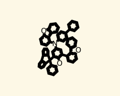 c1ccc(-c2ccc(N(c3cc(-c4cccc5oc6ccccc6c45)c4c(c3)C3(c5ccccc5O4)c4ccccc4-c4ccccc43)c3cccc4oc5ccccc5c34)cc2)cc1